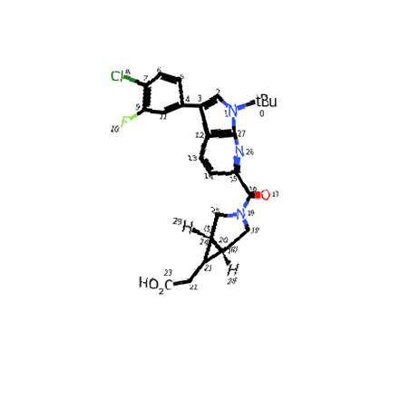 CC(C)(C)n1cc(-c2ccc(Cl)c(F)c2)c2ccc(C(=O)N3C[C@@H]4C(CC(=O)O)[C@@H]4C3)nc21